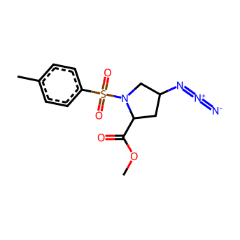 COC(=O)C1CC(N=[N+]=[N-])CN1S(=O)(=O)c1ccc(C)cc1